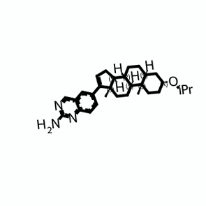 CC(C)O[C@@H]1CC[C@@]2(C)[C@@H](CC[C@@H]3[C@@H]2CC[C@]2(C)C(c4ccc5nc(N)ncc5c4)=CC[C@@H]32)C1